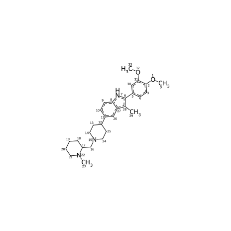 COc1ccc(-c2[nH]c3ccc(C4CCN(CC5CCCCN5C)CC4)cc3c2C)cc1OC